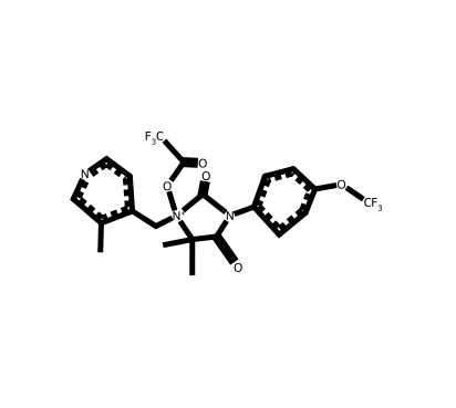 Cc1cnccc1C[N+]1(OC(=O)C(F)(F)F)C(=O)N(c2ccc(OC(F)(F)F)cc2)C(=O)C1(C)C